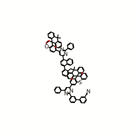 CC1(C)c2ccccc2C2(c3ccccc3Oc3ccc(-c4cc(-c5ccc(-c6ccccc6CC6(C)c7ccccc7C7(c8ccccc8Sc8cc(-c9cc(-c%10ccccc%10)nc(-c%10cccc(-c%11cccc(C#N)c%11)c%10)n9)ccc87)c7ccccc76)c6ccccc56)nc(-c5ccccc5)n4)cc32)c2ccccc21